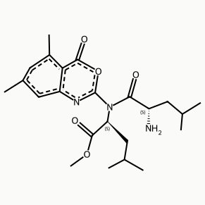 COC(=O)[C@H](CC(C)C)N(C(=O)[C@@H](N)CC(C)C)c1nc2cc(C)cc(C)c2c(=O)o1